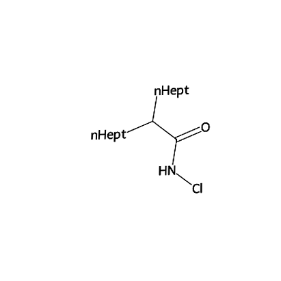 CCCCCCCC(CCCCCCC)C(=O)NCl